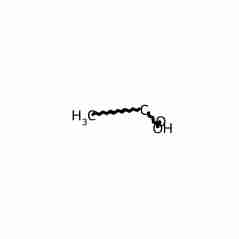 CCCCCC=CCC=CCCCC=C=CCCCC(=O)O